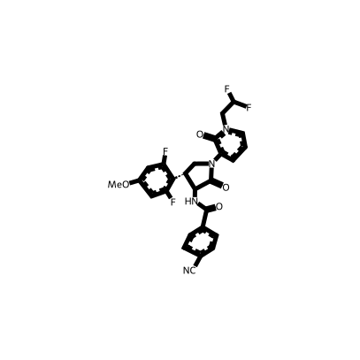 COc1cc(F)c([C@@H]2CN(c3cccn(CC(F)F)c3=O)C(=O)C2NC(=O)c2ccc(C#N)cc2)c(F)c1